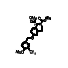 COC(=O)[C@H]1c2ccc(OCc3ccc(OC)c(C)c3)cc2CCN1C(=O)OC(C)(C)C